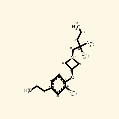 BCCc1ccc(OC2CN(CC(C)(N)CCC)C2)c(C)c1